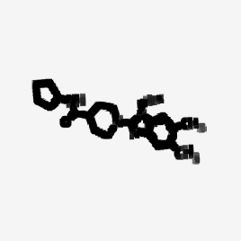 CCCCCCn1c(N2CCC(C(=O)NC3CCCC3)CC2)nc2cc(C)c(C)cc21